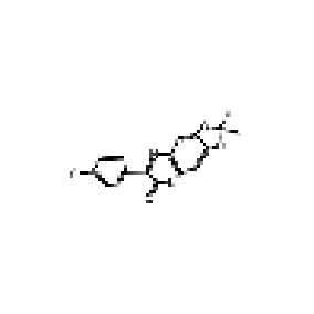 O=c1[nH]c2cc3c(cc2nc1-c1ccc(Cl)cc1)OC(F)(F)O3